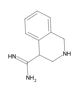 N=C(N)C1CNCc2ccccc21